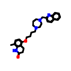 Cc1ccc(OCCCCN2CCCN(Cc3ccc4ccccc4n3)CC2)c2c1NC(=O)CC2